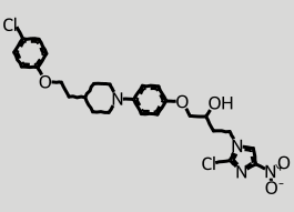 O=[N+]([O-])c1cn(CCC(O)COc2ccc(N3CCC(CCOc4ccc(Cl)cc4)CC3)cc2)c(Cl)n1